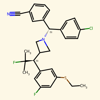 CCSc1cc(F)cc([C@H](C2CN([C@@H](c3ccc(Cl)cc3)c3cccc(C#N)c3)C2)C(C)(C)F)c1